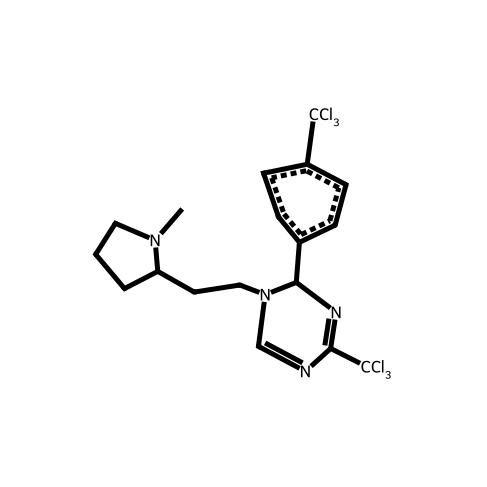 CN1CCCC1CCN1C=NC(C(Cl)(Cl)Cl)=NC1c1ccc(C(Cl)(Cl)Cl)cc1